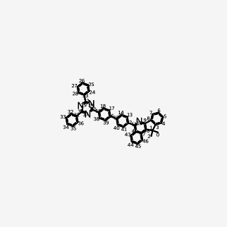 CC1(C)c2ccccc2-c2nc(-c3ccc(-c4ccc(-c5nc(-c6ccccc6)nc(-c6ccccc6)n5)cc4)cc3)c3ccccc3c21